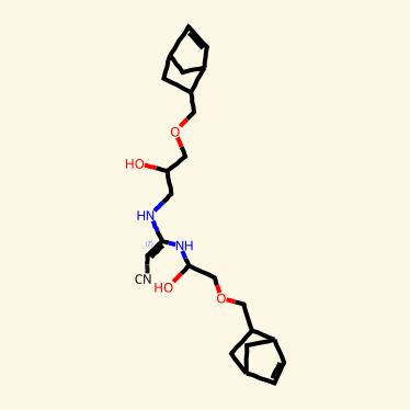 N#C/C=C(/NCC(O)COCC1CC2C=CC1C2)NC(O)COCC1CC2C=CC1C2